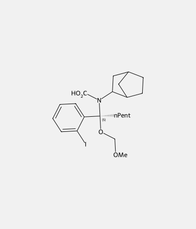 CCCCC[C@](OCOC)(c1ccccc1I)N(C(=O)O)C1CC2CCC1C2